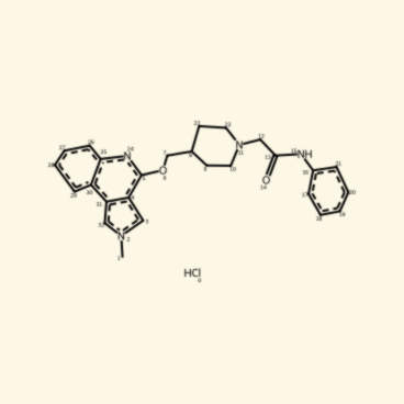 Cl.Cn1cc2c(OCC3CCN(CC(=O)Nc4ccccc4)CC3)nc3ccccc3c2c1